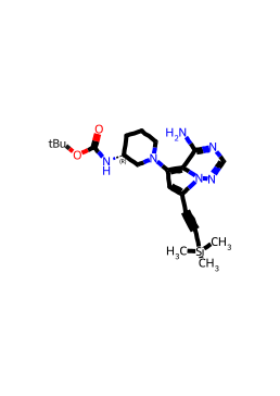 CC(C)(C)OC(=O)N[C@@H]1CCCN(c2cc(C#C[Si](C)(C)C)n3ncnc(N)c23)C1